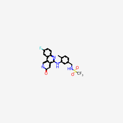 Cc1ccc(CNS(=O)(=O)C(F)(F)F)cc1Nc1nc2ccc(F)cc2c2c1=CC(=O)[N]C=2